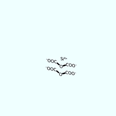 O=C([O-])OC(=O)[O-].O=C([O-])OC(=O)[O-].[Si+4]